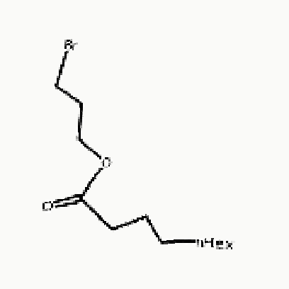 CCCCCCCCCC(=O)OCCCBr